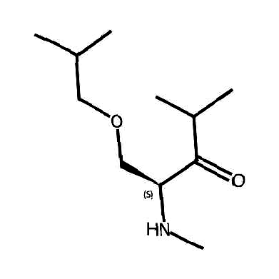 CN[C@@H](COCC(C)C)C(=O)C(C)C